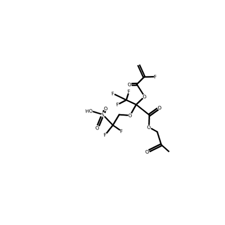 C=C(F)C(=O)OC(OCC(F)(F)S(=O)(=O)O)(C(=O)OCC(C)=O)C(F)(F)F